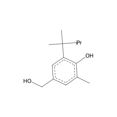 Cc1cc(CO)cc(C(C)(C)C(C)C)c1O